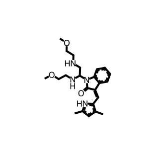 COCCNCC(NCCOC)N1C(=O)C(=Cc2[nH]c(C)cc2C)c2ccccc21